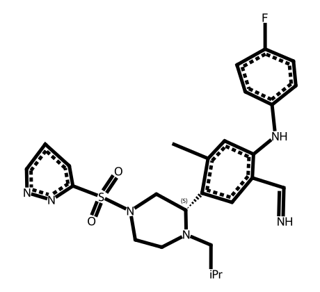 Cc1cc(Nc2ccc(F)cc2)c(C=N)cc1[C@H]1CN(S(=O)(=O)c2cccnn2)CCN1CC(C)C